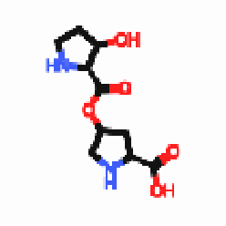 O=C(O)[C@@H]1CC(OC(=O)[C@H]2NCCC2O)CN1